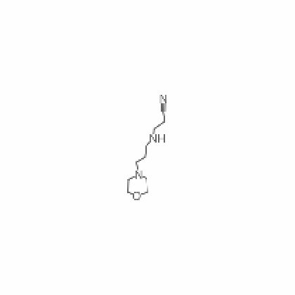 N#CCCNCCCN1CCOCC1